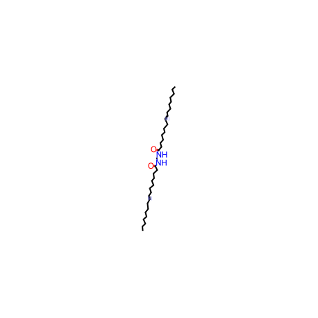 CCCCCCCC/C=C/CCCCCCCC(=O)NCNC(=O)CCCCCCC/C=C/CCCCCCCC